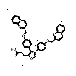 OC(=S)CCc1occ(-c2ccc(OCc3ccc4ccccc4n3)cc2)c1-c1ccc(OCc2ccc3ccccc3n2)cc1